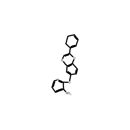 O=[N+]([O-])c1cccnc1Oc1ccc2c(c1)OC=C(C1=CC=CCC1)O2